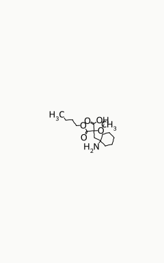 CCCCOC(=O)C(CC1(N)CCCCC1)(OC)C(=O)O